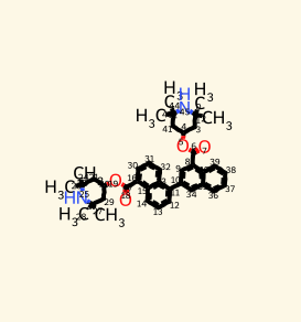 CC1(C)CC(OC(=O)c2cc(-c3cccc4c(C(=O)OC5CC(C)(C)NC(C)(C)C5)cccc34)cc3ccccc23)CC(C)(C)N1